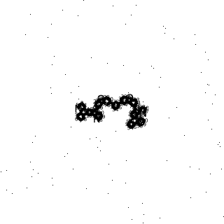 c1ccc(-c2ccccc2-c2ccc3c(c2)c2ncccc2n3-c2ccc3oc4ccc(-c5cccc(-c6ccc7oc8ccc(-n9c%10ccc(-c%11ccccc%11-c%11ccccn%11)cc%10c%10ncccc%109)cc8c7c6)c5)cc4c3c2)nc1